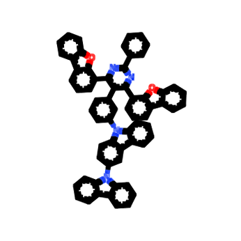 c1ccc(-c2nc(-c3cccc4c3oc3ccccc34)c(-c3cccc(-n4c5ccccc5c5cc(-n6c7ccccc7c7ccccc76)ccc54)c3)c(-c3cccc4c3oc3ccccc34)n2)cc1